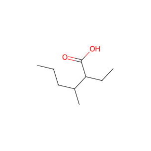 CCCC(C)C(CC)C(=O)O